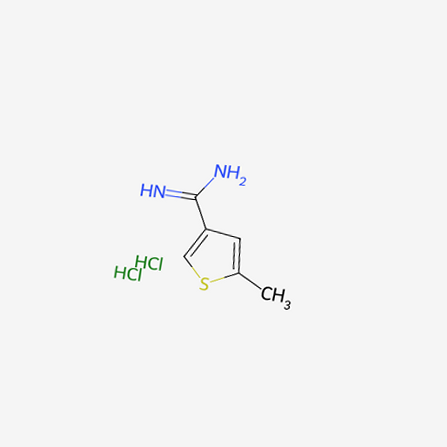 Cc1cc(C(=N)N)cs1.Cl.Cl